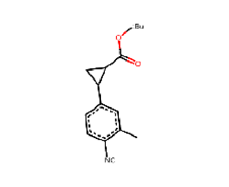 [C-]#[N+]c1ccc(C2CC2C(=O)OC(C)(C)C)cc1C